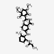 C=CC(=O)Nc1cccc(C)c1Nc1cc2c(=O)[nH]c(-c3c(Cl)c(OC)cc(OC)c3Cl)nc2cn1